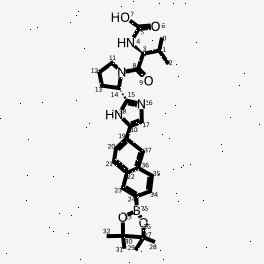 CC(C)[C@H](NC(=O)O)C(=O)N1CCC[C@H]1c1ncc(-c2ccc3cc(B4OC(C)(C)C(C)(C)O4)ccc3c2)[nH]1